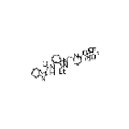 CCc1nn(Cc2cccc(OS(=O)(=O)C(F)(F)F)n2)c2cccc(NC(=O)c3cnc4ccccn34)c12